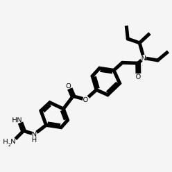 CCC(C)N(CC)C(=O)Cc1ccc(OC(=O)c2ccc(NC(=N)N)cc2)cc1